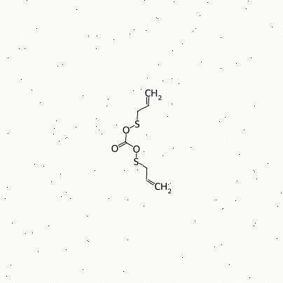 C=CCSOC(=O)OSCC=C